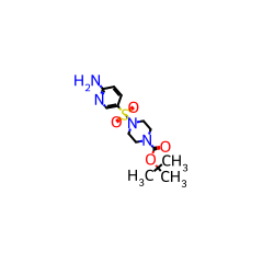 CC(C)(C)OC(=O)N1CCN(S(=O)(=O)c2ccc(N)nc2)CC1